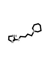 C1CCCN(CCCCSC2=NCCN2)CC1